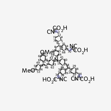 [C-]#[N+]/C(=C\c1ccc(C(=Cc2ccc(N(c3ccc(C=C(c4ccc(/C=C(\[N+]#[C-])C(=O)O)cc4)c4ccc(/C=C(\[N+]#[C-])C(=O)O)cc4)cc3)c3ccc(C=C(c4ccc(OC)cc4)c4ccc(OC)cc4)cc3)cc2)c2ccc(/C=C(\[N+]#[C-])C(=O)O)cc2)cc1)C(=O)O